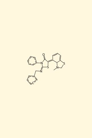 CN1CSC2=CC=CC(=C3SC(=NCc4ccccc4)N(c4ccccc4)C3=O)C21